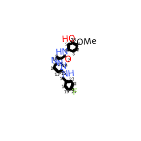 COc1ccc(NC(=O)c2cnc3ccc(NCc4ccc(F)cc4)nn23)cc1O